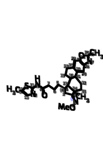 CO/N=C1\C[C@@H](CCCC(=O)Nc2ncc(C)s2)C2C3CCc4cc5oc(C)nc5cc4C3CC[C@]12C